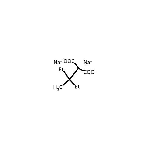 CCC(C)(CC)C(C(=O)[O-])C(=O)[O-].[Na+].[Na+]